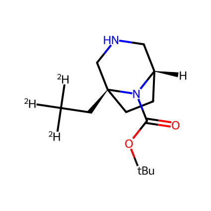 [2H]C([2H])([2H])C[C@@]12CC[C@@H](CNC1)N2C(=O)OC(C)(C)C